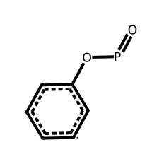 O=POc1c[c]ccc1